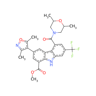 COC(=O)c1cc(-c2c(C)noc2C)cc2c1[nH]c1cc(C(F)(F)F)cc(C(=O)N3CC(C)OC(C)C3)c12